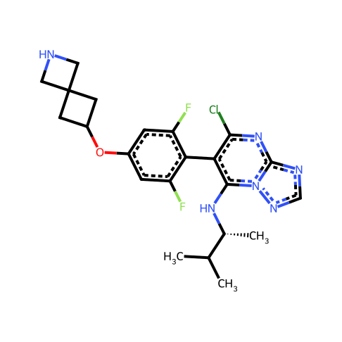 CC(C)[C@@H](C)Nc1c(-c2c(F)cc(OC3CC4(CNC4)C3)cc2F)c(Cl)nc2ncnn12